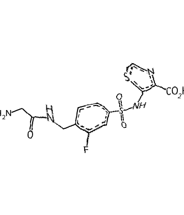 NCC(=O)NCc1ccc(S(=O)(=O)Nc2scnc2C(=O)O)cc1F